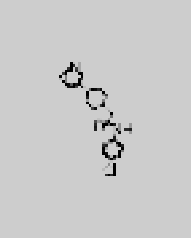 O=C(C[C@H]1CC[C@H](c2cncnc2)CC1)Nc1ccc(Cl)cc1